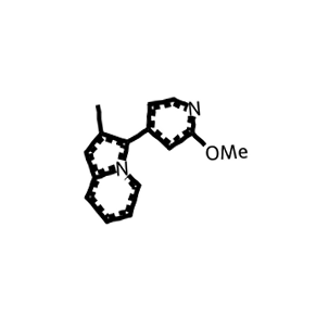 COc1cc(-c2c(C)cc3ccccn23)ccn1